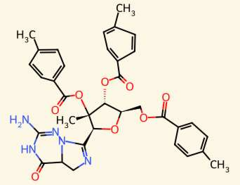 Cc1ccc(C(=O)OC[C@H]2O[C@@H](C3=NCC4C(=O)NC(N)=NN34)[C@](C)(OC(=O)c3ccc(C)cc3)[C@@H]2OC(=O)c2ccc(C)cc2)cc1